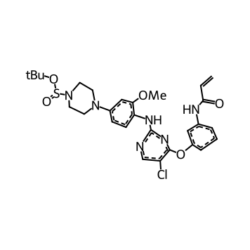 C=CC(=O)Nc1cccc(Oc2nc(Nc3ccc(N4CCN(S(=O)OC(C)(C)C)CC4)cc3OC)ncc2Cl)c1